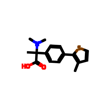 Cc1ccsc1-c1ccc(C(C)(C(=O)O)N(C)C)cc1